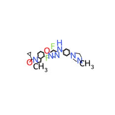 Cc1cc2c(F)c(Oc3ncnc(Nc4ccc(N5CCCN(C)CC5)cc4)c3F)ccc2n1C(=O)C1CC1